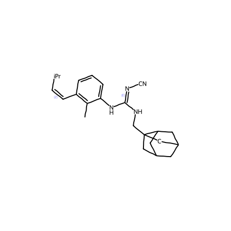 Cc1c(/C=C\C(C)C)cccc1N/C(=N/C#N)NCC12CC3CC(CC1C3)C2